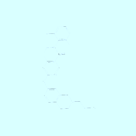 N#CCCN1CCc2ccc(Nc3ncc4c(n3)SCN(c3c(Cl)cccc3Cl)C4=O)cc2C1